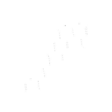 CC(CCCc1ccccc1)c1cc2c(cc1O)-c1c(O)cccc1C(C)(C)N2